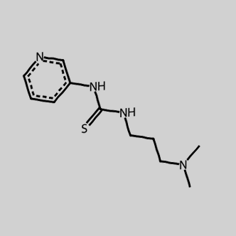 CN(C)CCCNC(=S)Nc1cccnc1